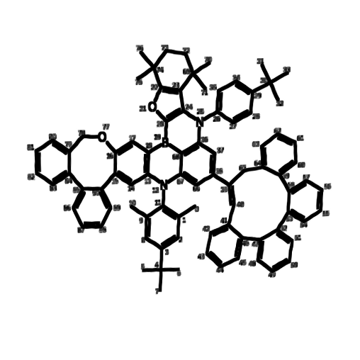 Cc1cc(C(C)(C)C)cc(C)c1N1c2cc3c(cc2B2c4oc5c(c4N(c4ccc(C(C)(C)C)cc4)c4cc(/C6=C\c7ccccc7-c7ccccc7-c7ccccc7-c7ccccc7C6)cc1c42)C(C)(C)CCC5(C)C)OCc1ccccc1-c1ccccc1-3